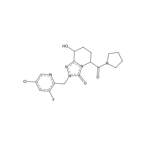 O=C(C1CCC(O)c2nn(Cc3ncc(Cl)cc3F)c(=O)n21)N1CCCC1